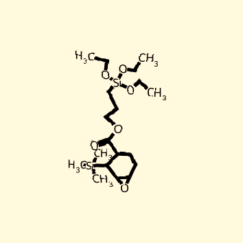 CCO[Si](CCCOC(=O)C1CCC2OC2C1[Si](C)(C)C)(OCC)OCC